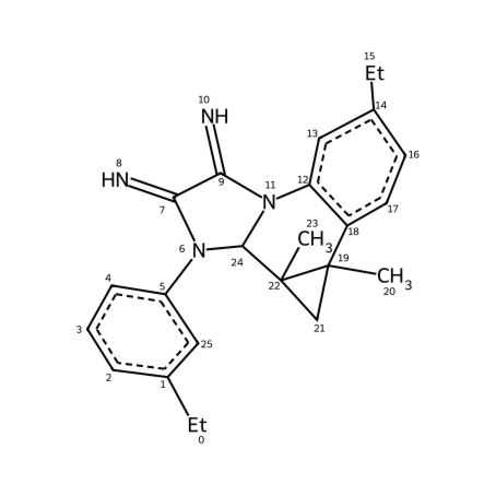 CCc1cccc(N2C(=N)C(=N)N3c4cc(CC)ccc4C4(C)CC4(C)C23)c1